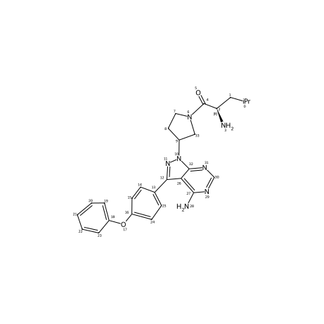 CC(C)C[C@@H](N)C(=O)N1CCC(n2nc(-c3ccc(Oc4ccccc4)cc3)c3c(N)ncnc32)C1